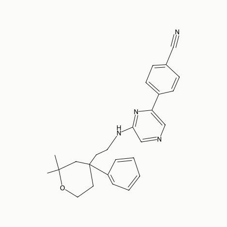 CC1(C)CC(CCNc2cncc(-c3ccc(C#N)cc3)n2)(c2ccccc2)CCO1